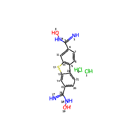 Cl.Cl.N=C(NO)c1ccc2c(c1)sc1cc(C(=N)NO)ccc12